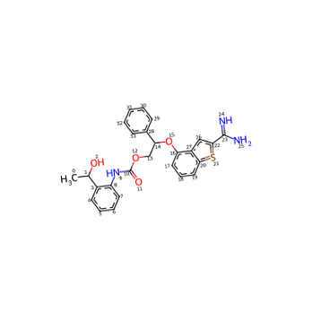 CC(O)c1ccccc1NC(=O)OCC(Oc1cccc2sc(C(=N)N)cc12)c1ccccc1